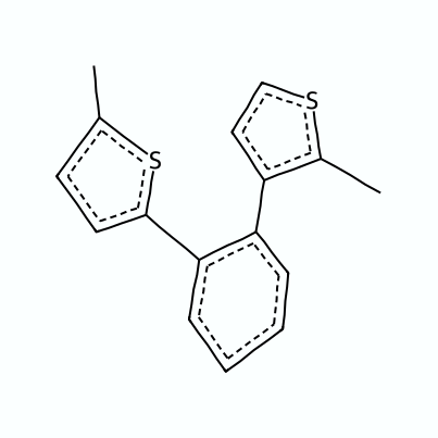 Cc1ccc(-c2ccccc2-c2ccsc2C)s1